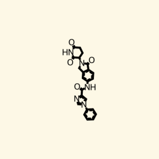 O=C1CCC(N2Cc3cc(NC(=O)c4cn(-c5ccccc5)cn4)ccc3C2=O)C(=O)N1